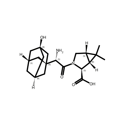 CC1(C)[C@@H]2[C@@H](C(=O)O)N(C(=O)[C@@H](N)[C@@]34C[C@@H]5C[C@@H](C[C@](O)(C5)C3)C4)C[C@@H]21